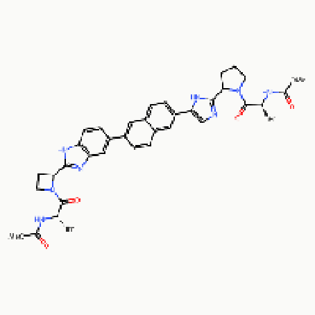 COC(=O)N[C@H](C(=O)N1CCCC1c1ncc(-c2ccc3cc(-c4ccc5[nH]c([C@@H]6CCN6C(=O)[C@@H](NC(=O)OC)C(C)C)nc5c4)ccc3c2)[nH]1)C(C)C